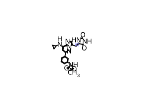 CS(=O)(=O)Nc1cccc(-c2cc(NC3CC3)c3ncc(/C=C4\NC(=O)NC4=O)n3n2)c1